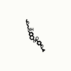 CCOCCCNCc1ccc2c(c1)CC[C@H](N(C)C(=O)c1ccc(OCC3CC3)cc1)C2